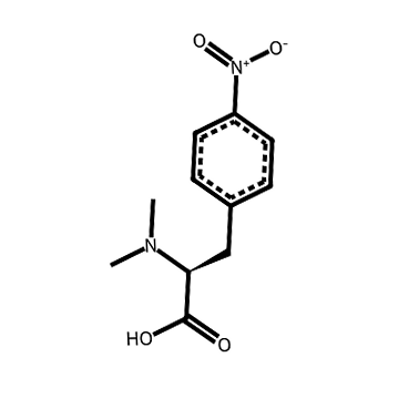 CN(C)[C@@H](Cc1ccc([N+](=O)[O-])cc1)C(=O)O